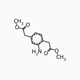 COC(=O)Cc1ccc(CC(=O)OC)c(N)c1